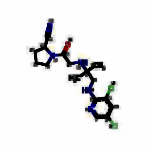 CC(C)(CNc1ncc(Cl)cc1Cl)NCC(=O)N1CCC[C@H]1C#N